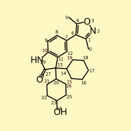 Cc1noc(C)c1-c1ccc2c(c1)C(C1CCCCC1)(C1CCC(O)CC1)C(=O)N2